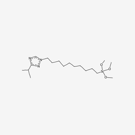 CO[Si](CCCCCCCCCCn1cnc(C(C)C)n1)(OC)OC